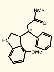 CNC(=O)C[C@@H](c1ccccc1)C1CNc2cccc(OC)c21